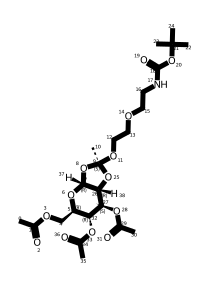 CC(=O)OC[C@H]1O[C@@H]2O[C@@](C)(OCCOCCNC(=O)OC(C)(C)C)O[C@@H]2[C@@H](OC(C)=O)[C@@H]1OC(C)=O